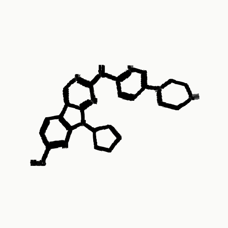 COc1ccc2c3cnc(Nc4ccc(N5CCNCC5)cn4)nc3n(C3CCCC3)c2n1